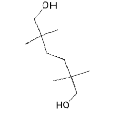 CC(C)(CO)CCC(C)(C)CO